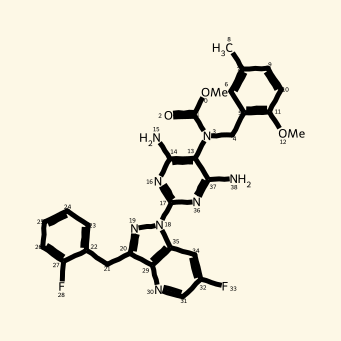 COC(=O)N(Cc1cc(C)ccc1OC)c1c(N)nc(-n2nc(Cc3ccccc3F)c3ncc(F)cc32)nc1N